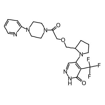 O=C(COCC1CCCN1c1cn[nH]c(=O)c1C(F)(F)F)N1CCN(c2ccccn2)CC1